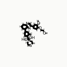 COCCOc1ccc(-c2cnc3cccc(-c4ccc(C(O)(O)N5CCSCC5)c(F)c4)c3n2)cc1OC